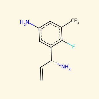 C=C[C@@H](N)c1cc(N)cc(C(F)(F)F)c1F